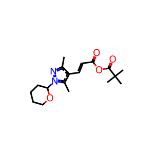 Cc1nn(C2CCCCO2)c(C)c1/C=C/C(=O)OC(=O)C(C)(C)C